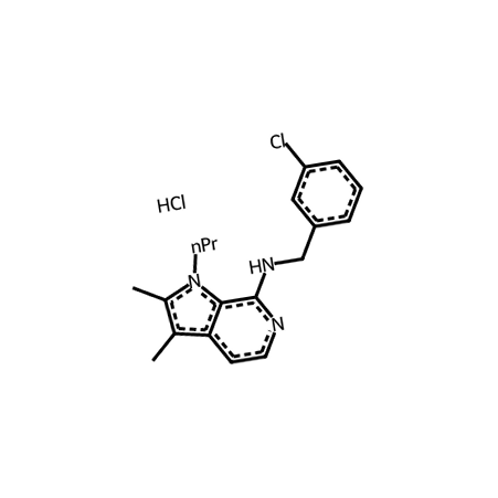 CCCn1c(C)c(C)c2ccnc(NCc3cccc(Cl)c3)c21.Cl